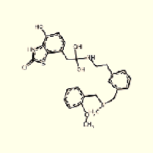 COc1ccccc1CN(C)Cc1cccc(CCNC(O)(O)Cc2ccc(O)c3[nH]c(=O)sc23)c1